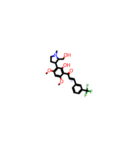 COc1cc(OC)c(C2CCN(C)C2CO)c(O)c1C(=O)/C=C/c1cccc(C(F)(F)F)c1